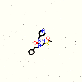 CC(=O)SCCN(CCC1=CCCCC1)C(=O)NCc1ccncc1